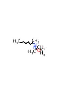 CCCCCCC(C)/N=N/C(C)(C)OC